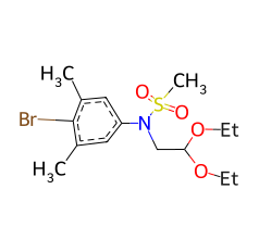 CCOC(CN(c1cc(C)c(Br)c(C)c1)S(C)(=O)=O)OCC